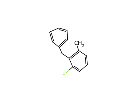 [CH2]c1cccc(F)c1Cc1ccccc1